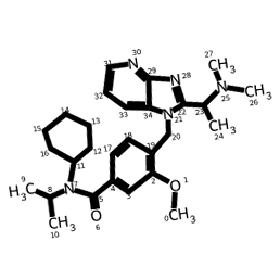 COc1cc(C(=O)N(C(C)C)C2CCCCC2)ccc1Cn1c(C(C)N(C)C)nc2ncccc21